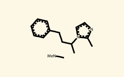 CNC.Cc1nccn1C(C)CCc1ccccc1